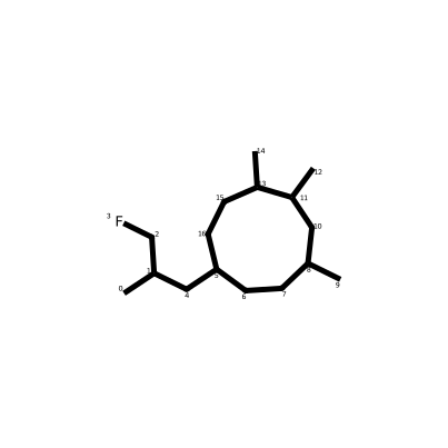 CC(CF)CC1CCC(C)CC(C)C(C)CC1